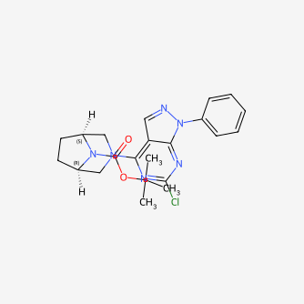 CC(C)(C)OC(=O)N1[C@@H]2CC[C@H]1CN(c1nc(Cl)nc3c1cnn3-c1ccccc1)C2